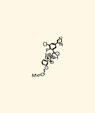 COCCOc1cccc(S(=O)(=O)NNC(=O)c2cc(-c3cn(C)cn3)cc(Cl)c2F)c1